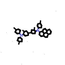 Cc1ccc(N(c2ccc(C)cc2)c2ccc(-c3ccc(N(c4ccc(C)cc4)c4ccc5ccc6cccc7ccc4c5c67)c(C)c3)cc2C)cc1